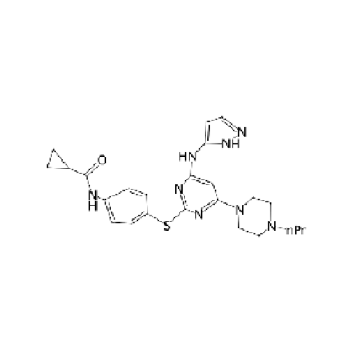 CCCN1CCN(c2cc(Nc3ccn[nH]3)nc(Sc3ccc(NC(=O)C4CC4)cc3)n2)CC1